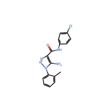 Cc1ccccc1-n1nnc(C(=O)Nc2ccc(Cl)cc2)c1N